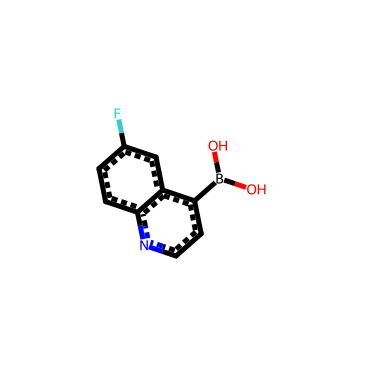 OB(O)c1ccnc2ccc(F)cc12